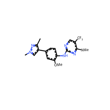 CNc1nc(Nc2ccc(-c3cn(C)nc3C)cc2OC)ncc1C(F)(F)F